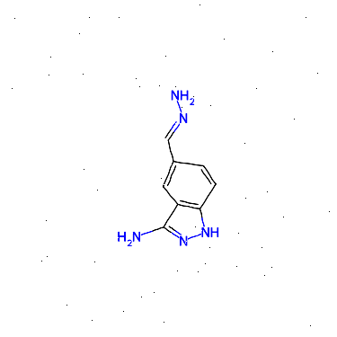 NN=Cc1ccc2[nH]nc(N)c2c1